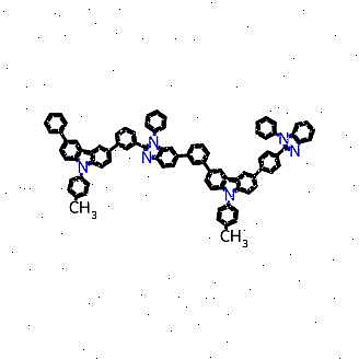 Cc1ccc(-n2c3ccc(-c4ccc(-c5nc6ccccc6n5-c5ccccc5)cc4)cc3c3cc(-c4cccc(-c5ccc6nc(-c7cccc(-c8ccc9c(c8)c8cc(-c%10ccccc%10)ccc8n9-c8ccc(C)cc8)c7)n(-c7ccccc7)c6c5)c4)ccc32)cc1